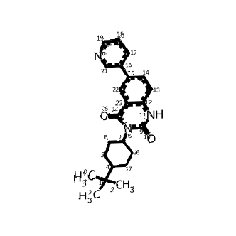 CC(C)(C)C1CCC(n2c(=O)[nH]c3ccc(-c4cccnc4)cc3c2=O)CC1